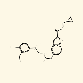 C[C@H](Cc1ccc2[nH]c(C(=O)NCC3CC3)cc2c1)NC[C@H](O)c1ccc(O)c(CO)c1